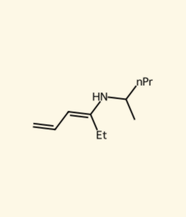 C=C/C=C(\CC)NC(C)CCC